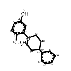 O=C(O)c1ccc(O)cc1N1CCC(c2ccccc2)CC1